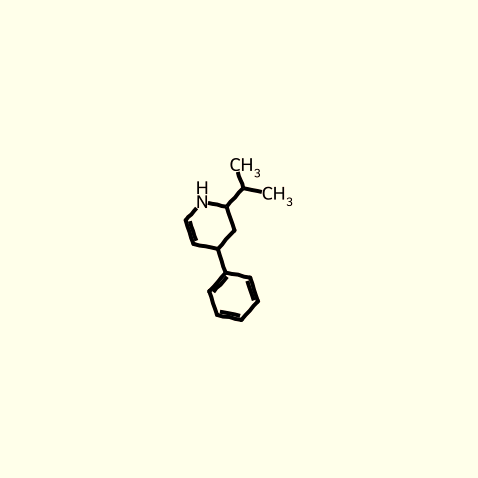 CC(C)C1CC(c2ccccc2)C=CN1